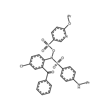 CC(C)Nc1ccc(S(=O)(=O)N(OS(=O)(=O)c2ccc(OC(C)C)nc2)c2ccc(Cl)cc2C(=O)c2ccccc2)cc1